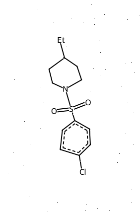 CCC1CCN(S(=O)(=O)c2ccc(Cl)cc2)CC1